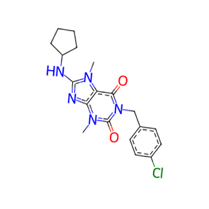 Cn1c(NC2CCCC2)nc2c1c(=O)n(Cc1ccc(Cl)cc1)c(=O)n2C